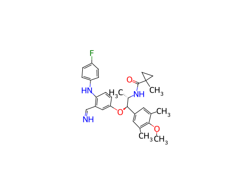 COc1c(C)cc([C@@H](Oc2ccc(Nc3ccc(F)cc3)c(C=N)c2)[C@H](C)NC(=O)C2(C)CC2)cc1C